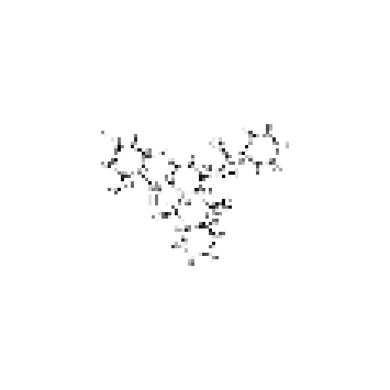 Cc1cc(C)c(Nc2ccc(NC(=O)c3ccccc3)c3c2C(=O)c2ccccc2C3=O)c(C)c1